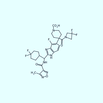 Cc1nonc1C(=O)NC(c1nc2c(F)c(C3(C(=O)N4CC(F)(F)C4)CCN(C(=O)O)CC3)ccc2[nH]1)C1CCC(F)(F)CC1